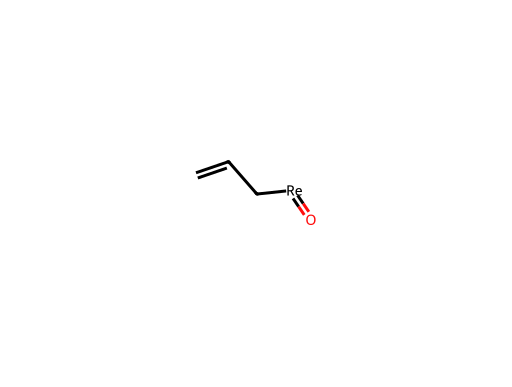 C=C[CH2][Re]=[O]